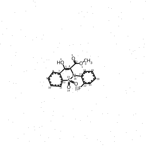 COC(=O)C1=C(O)c2ccccc2S(=O)(=O)N1c1ccccc1F